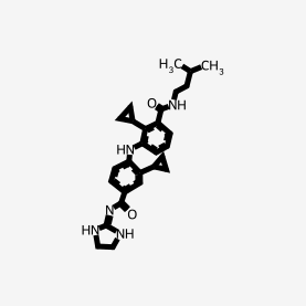 CC(C)CCNC(=O)c1cccc(Nc2ccc(C(=O)N=C3NCCN3)cc2C2CC2)c1C1CC1